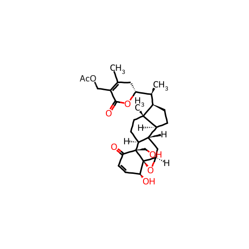 CC(=O)OCC1=C(C)C[C@H]([C@@H](C)[C@H]2CC[C@H]3[C@@H]4C[C@H]5O[C@]56[C@@H](O)C=CC(=O)[C@]6(CO)[C@H]4CC[C@]23C)OC1=O